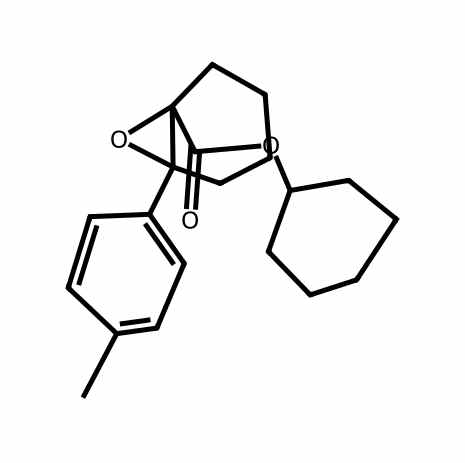 Cc1ccc(C23CCCCC2(C(=O)OC2CCCCC2)O3)cc1